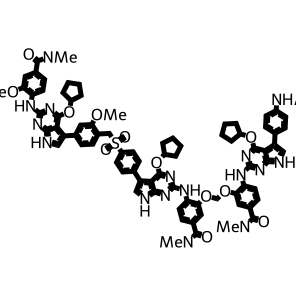 CNC(=O)c1ccc(Nc2nc(OC3CCCC3)c3c(-c4ccc(CS(=O)(=O)c5ccc(-c6c[nH]c7nc(Nc8ccc(C(=O)NC)cc8OCOc8cc(C(=O)NC)ccc8Nc8nc(OC9CCCC9)c9c(-c%10ccc(NC(C)=O)cc%10)c[nH]c9n8)nc(OC8CCCC8)c67)cc5)c(OC)c4)c[nH]c3n2)c(OC)c1